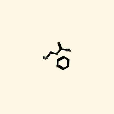 COOC(C)=O.c1ccncc1